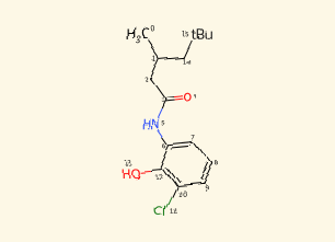 CC(CC(=O)Nc1cccc(Cl)c1O)CC(C)(C)C